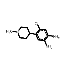 CN1CCC(c2cc(N)c(N)cc2Cl)CC1